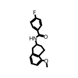 COc1cccc2c1CCC(NC(=O)c1ccc(F)cc1)C2